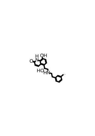 [CH2]c1cccc(CCNC[C@@H](O)c2ccc(O)c3[nH]c(=O)ccc23)c1